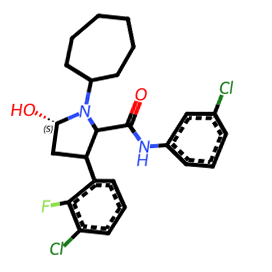 O=C(Nc1cccc(Cl)c1)C1C(c2cccc(Cl)c2F)C[C@H](O)N1C1CCCCCC1